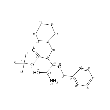 CC(C)(C)OC(=O)C(CC1CCCCC1)C(OCc1ccccc1)C(N)O